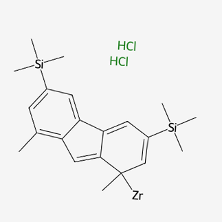 Cc1cc([Si](C)(C)C)cc2c1C=C1C2=CC([Si](C)(C)C)=C[C]1(C)[Zr].Cl.Cl